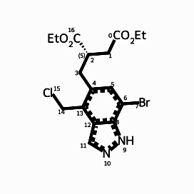 CCOC(=O)C[C@H](Cc1cc(Br)c2[nH]ncc2c1CCl)C(=O)OCC